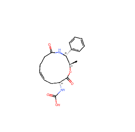 C[C@H]1OC(=O)[C@H](NC(=O)O)CC=CCCC(=O)N[C@@H]1c1ccccc1